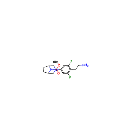 CC(C)(C)OC(=O)N1C2CCC1CN(c1cc(F)c(CCN)c(F)c1)C2